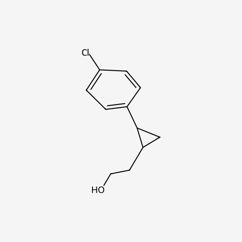 OCCC1CC1c1ccc(Cl)cc1